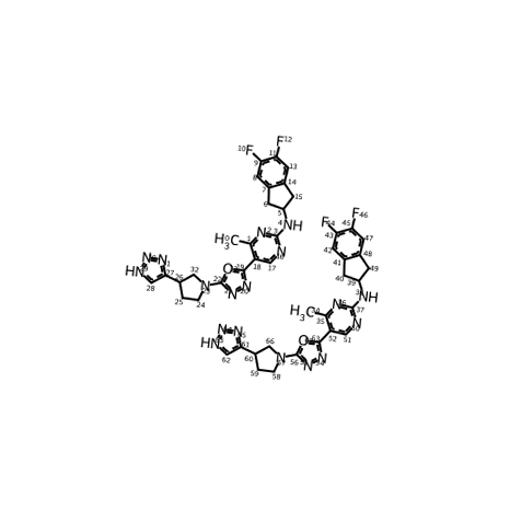 Cc1nc(NC2Cc3cc(F)c(F)cc3C2)ncc1-c1nnc(N2CCC(c3c[nH]nn3)C2)o1.Cc1nc(NC2Cc3cc(F)c(F)cc3C2)ncc1-c1nnc(N2CCC(c3c[nH]nn3)C2)o1